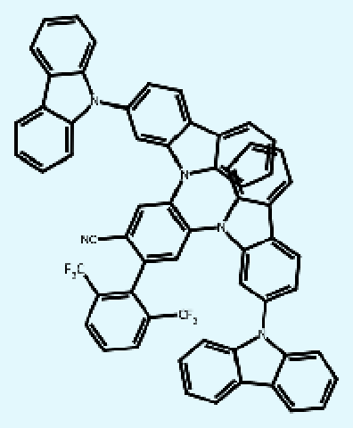 N#Cc1cc(-n2c3ccccc3c3ccc(-n4c5ccccc5c5ccccc54)cc32)c(-n2c3ccccc3c3ccc(-n4c5ccccc5c5ccccc54)cc32)cc1-c1c(C(F)(F)F)cccc1C(F)(F)F